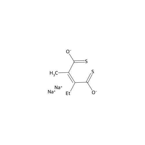 CC/C(C([O-])=S)=C(\C)C([O-])=S.[Na+].[Na+]